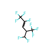 FC(=CC(C(F)F)C(F)(F)F)C(F)(F)F